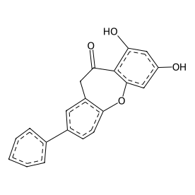 O=C1Cc2cc(-c3ccccc3)ccc2Oc2cc(O)cc(O)c21